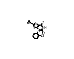 O=c1[nH]c(=O)n(-c2ccccc2Cl)c2nc(C3CC3)sc12